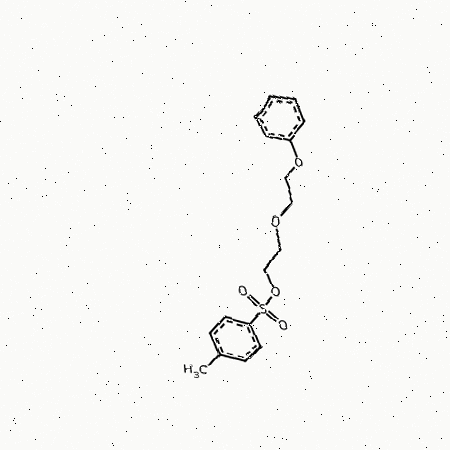 Cc1ccc(S(=O)(=O)OCCOCCOc2ccccc2)cc1